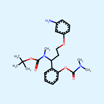 CN(C)C(=O)Oc1ccccc1C(CCOc1cccc(N)c1)N(C)C(=O)OC(C)(C)C